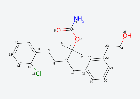 CC(C)(OC(N)=O)C(CCc1ccccc1Cl)Cc1cccc(CCO)c1